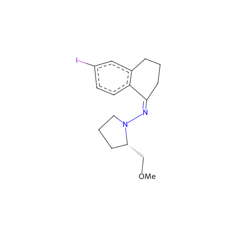 COC[C@@H]1CCCN1/N=C1/CCCc2cc(I)ccc21